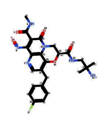 CNC(=O)c1c(N=O)c2ncc(Cc3ccc(F)cc3)c3c2n(c1=O)C[C@@H](C(=O)NCC(C)(C)N)O3